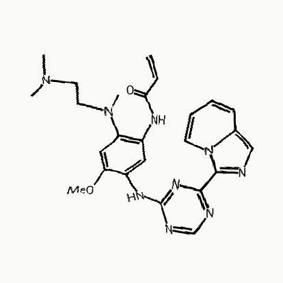 C=CC(=O)Nc1cc(Nc2ncnc(-c3ncc4ccccn34)n2)c(OC)cc1N(C)CCN(C)C